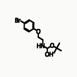 CC(C)(C)OC(O)NCCOc1ccc(Br)cc1